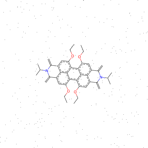 C=C1c2cc(OCC)c3c4c(OCC)cc5c6c(cc(OCC)c(c7c(OCC)cc(c2c37)C(=C)N1C(C)C)c64)C(=C)N(C(C)C)C5=C